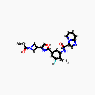 COC(=O)N1CC(c2coc(-c3cc(F)c(C)c(NC(=O)c4cnc5ccccn45)c3)n2)C1